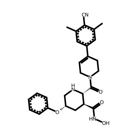 Cc1cc(C2=CCN(C(=O)[C@H]3NC[C@@H](Oc4ccccc4)C[C@@H]3C(=O)NO)CC2)cc(C)c1C#N